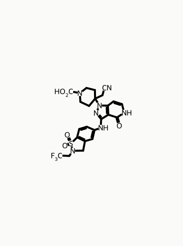 N#CCC1(n2nc(Nc3ccc4c(c3)CN(CC(F)(F)F)S4(=O)=O)c3c(=O)[nH]ccc32)CCN(C(=O)O)CC1